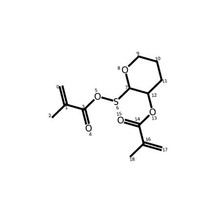 C=C(C)C(=O)OSC1OCCCC1OC(=O)C(=C)C